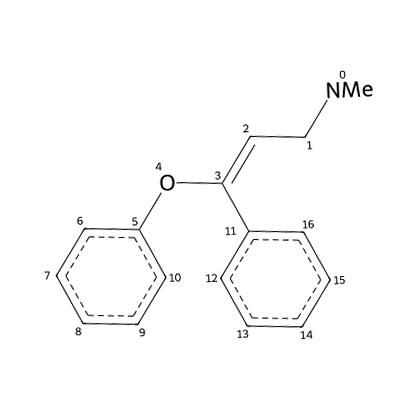 CNCC=C(Oc1ccccc1)c1ccccc1